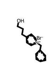 OCCCc1cc[n+](Cc2ccccc2)cc1.[Br-]